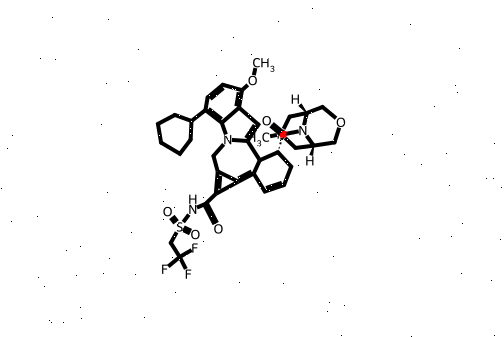 COc1ccc(C2CCCCC2)c2c1cc1n2CC2=C(C(=O)NS(=O)(=O)CC(F)(F)F)C2=C2C=CC[C@@H](C(=O)N3[C@@H]4COC[C@H]3CN(C)C4)C21